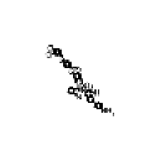 N#Cc1ccccc1C(=O)N1Cc2cc3c(cc2C[C@H]1C(=O)N[C@@H](Cc1ccc(-c2ccc(N)cc2)cc1)C(=O)O)OCC(c1ccc(OCc2ccc(Cl)c(Cl)c2)cc1)O3